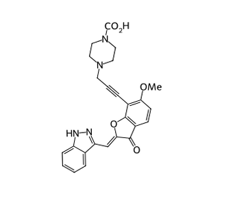 COc1ccc2c(c1C#CCN1CCN(C(=O)O)CC1)O/C(=C\c1n[nH]c3ccccc13)C2=O